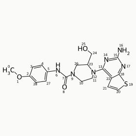 COc1ccc(NC(=O)N2CCN(c3nc(N)nc4sccc34)C(CO)C2)cc1